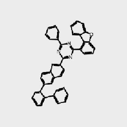 c1ccc(-c2nc(-c3ccc4cc(-c5ccccc5-c5ccccc5)ccc4c3)nc(-c3cccc4oc5ccccc5c34)n2)cc1